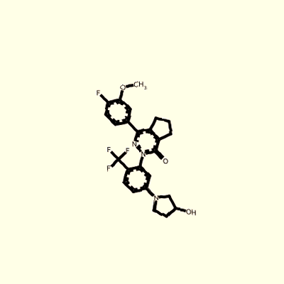 COc1cc(-c2nn(-c3cc(N4CCC(O)C4)ccc3C(F)(F)F)c(=O)c3c2CCC3)ccc1F